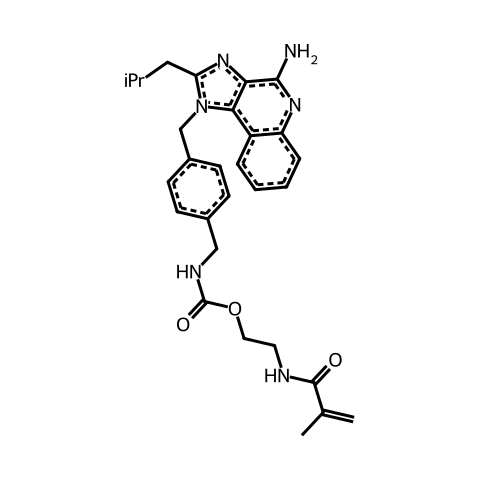 C=C(C)C(=O)NCCOC(=O)NCc1ccc(Cn2c(CC(C)C)nc3c(N)nc4ccccc4c32)cc1